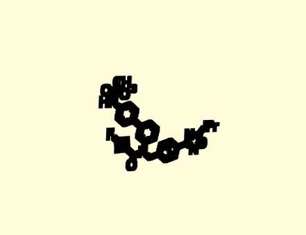 CC(C)c1nc(C23CCC(CN(C(=O)C45CC(F)(C4)C5)c4cccc(-c5ccc(NS(C)(=O)=O)cc5)c4)(CC2)CC3)no1